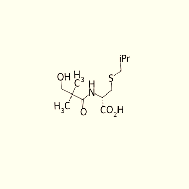 CC(C)CSC[C@@H](NC(=O)C(C)(C)CO)C(=O)O